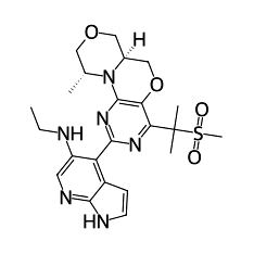 CCNc1cnc2[nH]ccc2c1-c1nc2c(c(C(C)(C)S(C)(=O)=O)n1)OC[C@@H]1COC[C@@H](C)N21